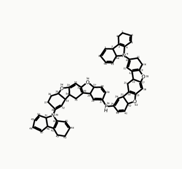 C1=CC2C3=C(C=CCC3)N(C3=CC4=C(CC3)OC3=CC5=C(CC34)C3C=C(PC4=CC6C7=C(C=C8OC9CCC(N%10C%11=C(CCC=C%11)C%11C=CC=CC%11%10)=CC9C8C7)OC6C=C4)C=CC3O5)C2C=C1